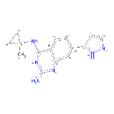 CC1(Nc2nc(N)nc3cc(-c4ccn[nH]4)ccc23)CC1